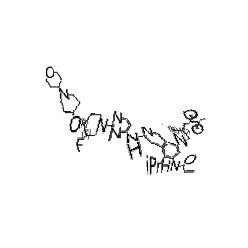 C=CC(=O)Nc1cc(N2C[C@H](CS(C)(=O)=O)[C@H]2C)c2cnc(Nc3ccnc(N4CC[C@@H](OC5CCN(C6CCOCC6)CC5)[C@@H](F)C4)n3)cc2c1C(C)C